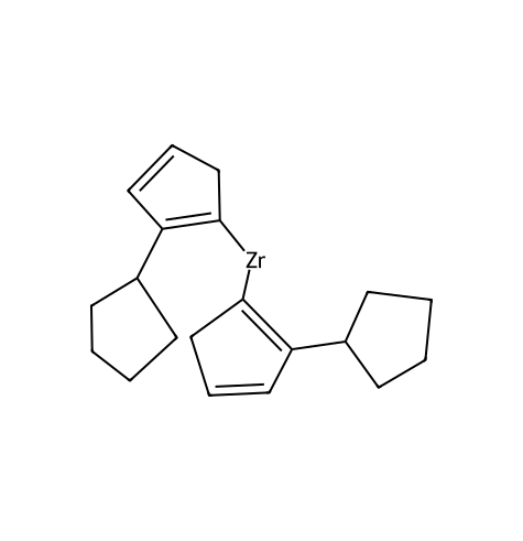 C1=CC(C2CCCC2)=[C]([Zr][C]2=C(C3CCCC3)C=CC2)C1